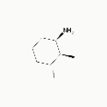 C[C@H]1[C@H](C)CCC[C@H]1N